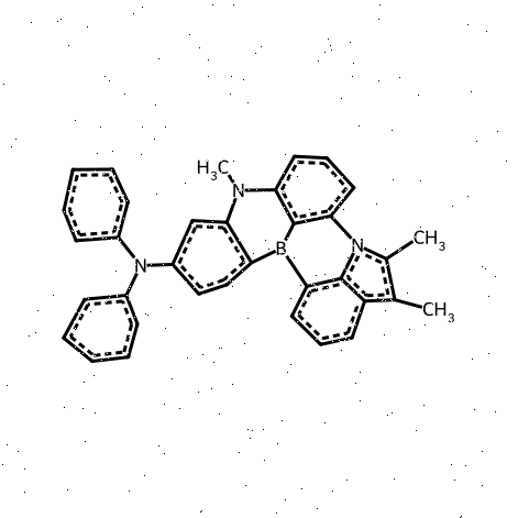 Cc1c(C)n2c3c(cccc13)B1c3ccc(N(c4ccccc4)c4ccccc4)cc3N(C)c3cccc-2c31